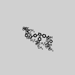 CCOP(=O)(Cc1ccc(-n2c(-c3ccc(-c4c[nH]c([C@@H]5CCCN5C(=O)[C@@H](NC(=O)OC)C(C)C)n4)cc3)ccc2-c2ccc(-c3c[nH]c([C@@H]4CCCN4C(=O)[C@@H](NC(=O)OC)C(C)C)n3)cc2)cc1)OCC